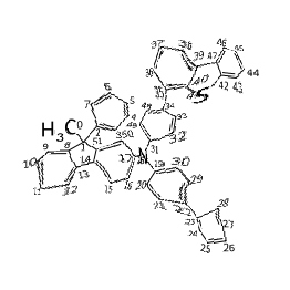 CC1(c2ccccc2)c2ccccc2-c2ccc(N(c3ccc(-c4ccccc4)cc3)c3ccc(-c4cccc5c4sc4ccccc45)cc3)cc21